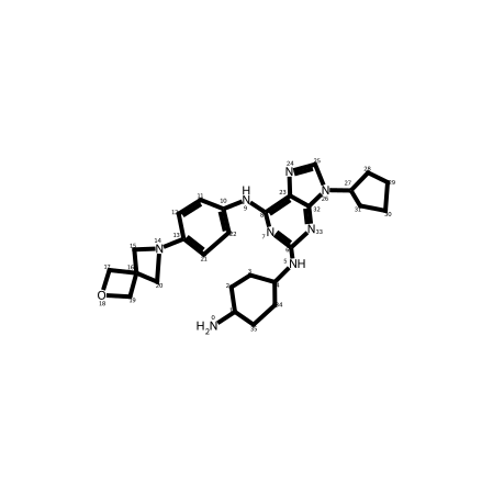 NC1CCC(Nc2nc(Nc3ccc(N4CC5(COC5)C4)cc3)c3ncn(C4CCCC4)c3n2)CC1